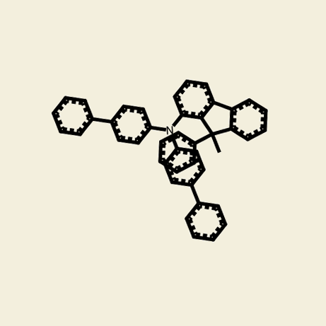 CC1(c2ccccc2)c2ccccc2-c2cccc(N(c3ccc(-c4ccccc4)cc3)c3ccc(-c4ccccc4)cc3)c21